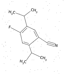 CC(C)c1cc(C#N)c(C(C)C)cc1F